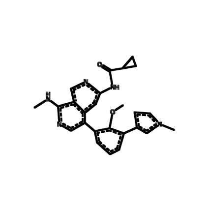 CNc1ncc(-c2cccc(-c3ccn(C)c3)c2OC)c2cc(NC(=O)C3CC3)ncc12